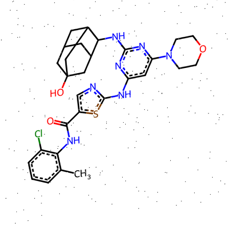 Cc1cccc(Cl)c1NC(=O)c1cnc(Nc2cc(N3CCOCC3)nc(NC3C4CC5CC3CC(O)(C5)C4)n2)s1